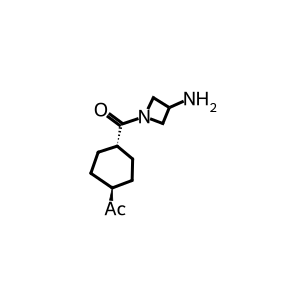 CC(=O)[C@H]1CC[C@H](C(=O)N2CC(N)C2)CC1